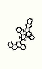 c1ccc(-c2nc(-c3ccccc3-n3c4ccccc4c4cc5ccccc5cc43)nc(-c3cc4c5ccccc5ccc4c4ccccc34)n2)cc1